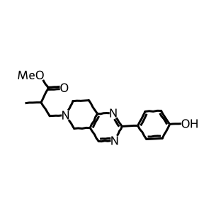 COC(=O)C(C)CN1CCc2nc(-c3ccc(O)cc3)ncc2C1